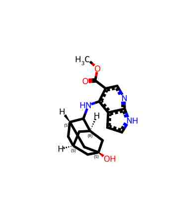 COC(=O)c1cnc2[nH]ccc2c1NC1[C@@H]2C[C@@H]3C[C@H]1C[C@@](O)(C3)C2